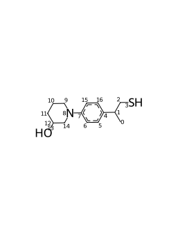 CC(CS)c1ccc(N2CCCC(O)C2)cc1